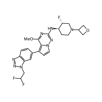 COc1nc(N[C@@H]2CCN(C3COC3)C[C@H]2F)nn2ccc(-c3ccc4nnn(CC(F)F)c4c3)c12